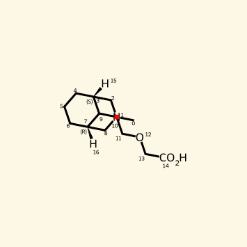 CN1C[C@H]2CCC[C@@H](C1)C2CCOCC(=O)O